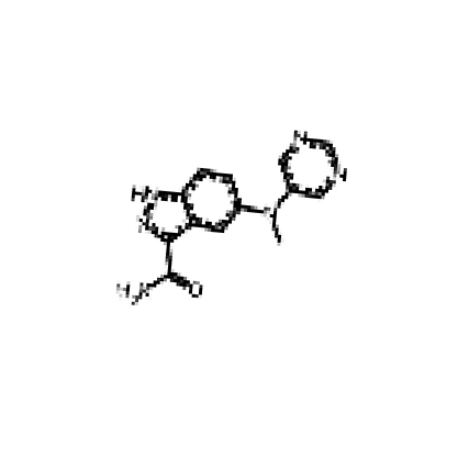 CN(c1cncnc1)c1ccc2[nH]nc(C(N)=O)c2c1